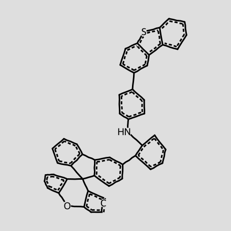 c1ccc(-c2ccc3c(c2)-c2ccccc2C32c3ccccc3Oc3ccccc32)c(Nc2ccc(-c3ccc4sc5ccccc5c4c3)cc2)c1